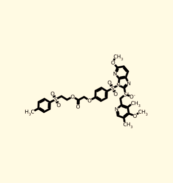 COc1ccc2nc([S+]([O-])Cc3ncc(C)c(OC)c3C)n(S(=O)(=O)c3ccc(OCC(=O)OCCS(=O)(=O)c4ccc(C)cc4)cc3)c2n1